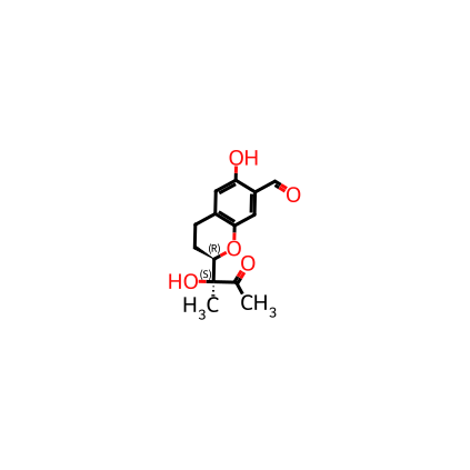 CC(=O)[C@@](C)(O)[C@H]1CCc2cc(O)c(C=O)cc2O1